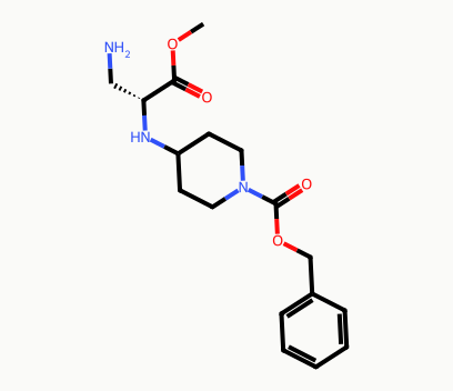 COC(=O)[C@@H](CN)NC1CCN(C(=O)OCc2ccccc2)CC1